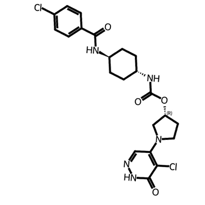 O=C(N[C@H]1CC[C@H](NC(=O)c2ccc(Cl)cc2)CC1)O[C@@H]1CCN(c2cn[nH]c(=O)c2Cl)C1